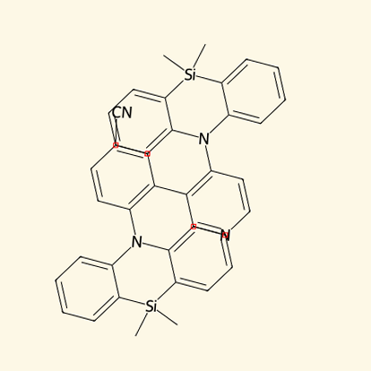 C[Si]1(C)c2ccccc2N(c2ccncc2-c2cc(C#N)ccc2N2c3ccccc3[Si](C)(C)c3ccccc32)c2ccccc21